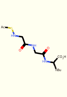 CCCCC(NC(=O)CNC(=O)CNSC(C)=O)C(=O)O